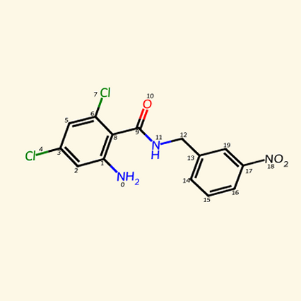 Nc1cc(Cl)cc(Cl)c1C(=O)NCc1cccc([N+](=O)[O-])c1